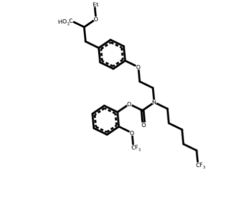 CCOC(Cc1ccc(OCCN(CCCCCC(F)(F)F)C(=O)Oc2ccccc2OC(F)(F)F)cc1)C(=O)O